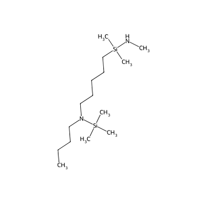 CCCCN(CCCCC[Si](C)(C)NC)[Si](C)(C)C